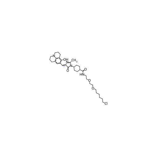 CC1=N/C(=C\c2cc3c4c(c2O)CCCN4CCC3)C(=O)N1C1CCC(C(=O)NCCOCCOCCCCCCCl)CC1